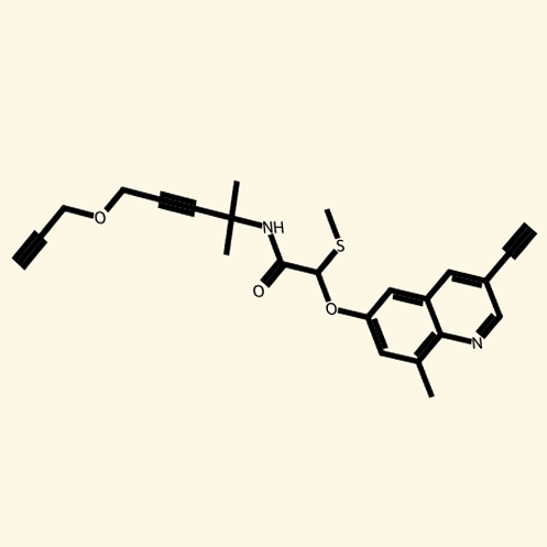 C#CCOCC#CC(C)(C)NC(=O)C(Oc1cc(C)c2ncc(C#C)cc2c1)SC